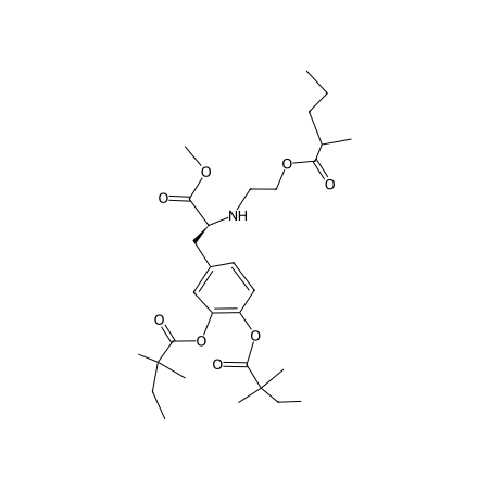 CCCC(C)C(=O)OCCN[C@@H](Cc1ccc(OC(=O)C(C)(C)CC)c(OC(=O)C(C)(C)CC)c1)C(=O)OC